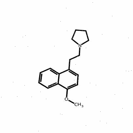 COc1ccc(CCN2CCCC2)c2ccccc12